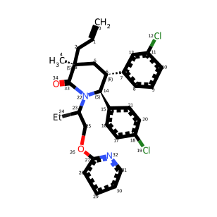 C=CC[C@@]1(C)C[C@H](c2cccc(Cl)c2)[C@@H](c2ccc(Cl)cc2)N(C(CC)COc2ccccn2)C1=O